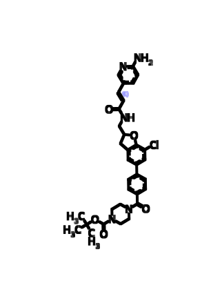 CC(C)(C)OC(=O)N1CCN(C(=O)c2ccc(-c3cc(Cl)c4c(c3)CC(CNC(=O)/C=C/c3ccc(N)nc3)O4)cc2)CC1